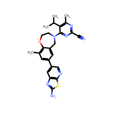 Cc1cc(-c2cnc3sc(N)nc3c2)cc2c1OCCN(c1nc(C#N)nc(C)c1C(C)C)C2